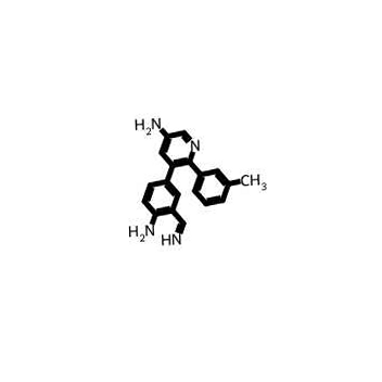 Cc1cccc(-c2ncc(N)cc2-c2ccc(N)c(C=N)c2)c1